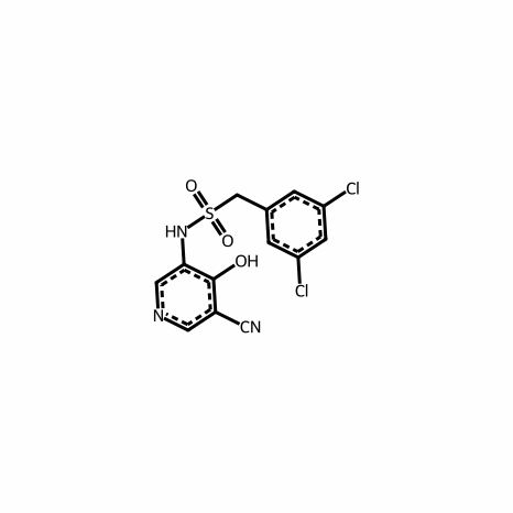 N#Cc1cncc(NS(=O)(=O)Cc2cc(Cl)cc(Cl)c2)c1O